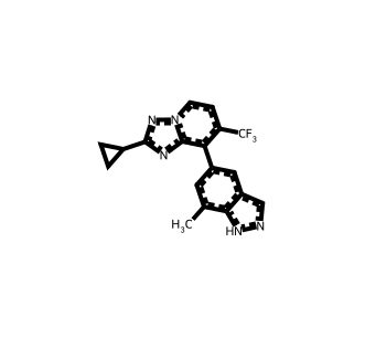 Cc1cc(-c2c(C(F)(F)F)ccn3nc(C4CC4)nc23)cc2cn[nH]c12